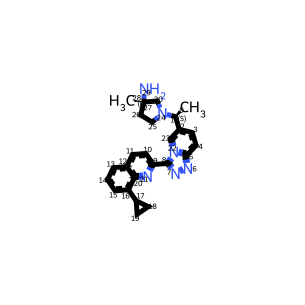 C[C@@H](c1ccc2nnc(-c3ccc4cccc(C5CC5)c4n3)n2c1)N1CC[C@@](C)(N)C1